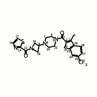 Cc1c(C(=O)N2CCN(C3CN(C(=O)c4nccs4)C3)CC2)sc2cc(C(F)(F)F)ccc12